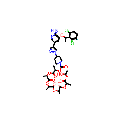 CC(O)OC(=O)C(C)OC(=O)C(C)OC(=O)C(C)OC(=O)C(C)OC(=O)C(C)OC(=O)N1CCC(n2cc(-c3cnc(N)c(O[C@H](C)c4c(Cl)ccc(F)c4Cl)c3)cn2)CC1